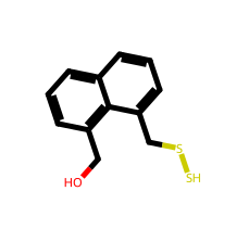 OCc1cccc2cccc(CSS)c12